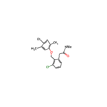 CCc1cc(C)c(OCc2c(Cl)cccc2CC(=O)NC)cc1C